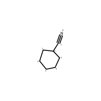 N#C[C]1CC[CH]CC1